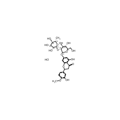 COc1ccc(C2CC(=O)c3c(O)cc(O[C@@H]4O[C@H](CO)[C@@H](O)[C@H](O)[C@H]4O[C@@H]4O[C@@H](C)[C@H](O)[C@@H](O)[C@H]4O)cc3O2)cc1O.Cl